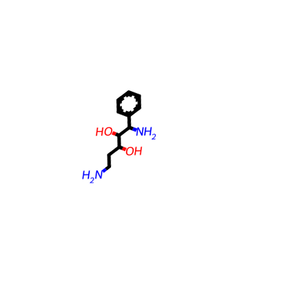 NCCC(O)C(O)C(N)c1ccccc1